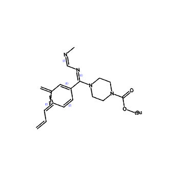 C=C\C=C(F)/C=C\C(=C/C(=C)F)C(=N/C=N\C)\N1CCN(C(=O)OC(C)(C)C)CC1